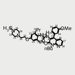 CCCCn1c(=O)c(NC(=O)Nc2c(C(C)C)cc(OCCN3CCN(C)CC3)cc2C(C)C)c(-c2cccc(OC)c2)c2cccnc21